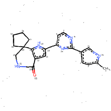 Cc1ccc(-c2nccc(-c3cc4c([nH]3)C3(CCCC3)CNC4=O)n2)cn1